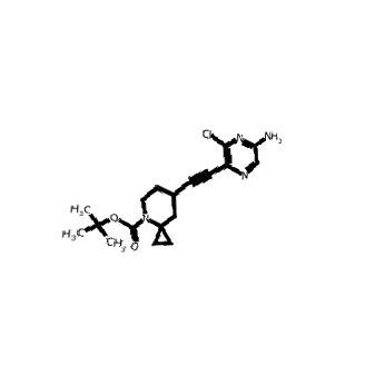 CC(C)(C)OC(=O)N1CCC(C#Cc2ncc(N)nc2Cl)CC12CC2